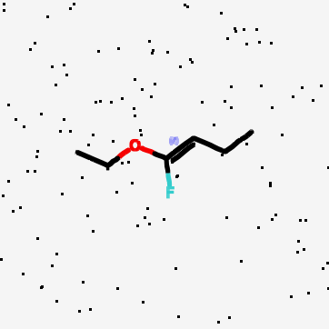 C[CH]O/C(F)=C/CC